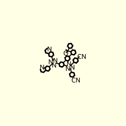 CC1(c2ccccc2)Oc2cc(-c3cc(-c4nc(-c5ccc6ncccc6c5)nc(-c5ccc6cccnc6c5)n4)ccc3-c3nc(-c4ccc(C#N)cc4)nc(-c4ccc(C#N)cc4)n3)ccc2-c2ccccc21